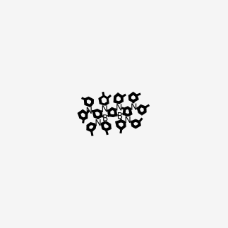 Cc1cccc(N(c2cccc(C)c2)c2cc3c4c(c2)N(c2cccc(C)c2)c2cc(C)ccc2B4c2cc4c(cc2N3C2=CC(C)C(C)C=C2)N(c2cccc(C)c2)c2cc(N(c3cccc(C)c3)c3cccc(C)c3)cc3c2B4c2ccc(C)cc2N3c2cccc(C)c2)c1